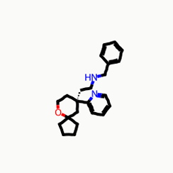 c1ccc(CNCC[C@@]2(c3ccccn3)CCOC3(CCCC3)C2)cc1